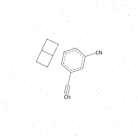 C#Cc1cccc(C#N)c1.C1CC2CCC12